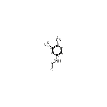 N#Cc1ccc(NC=S)cc1C#N